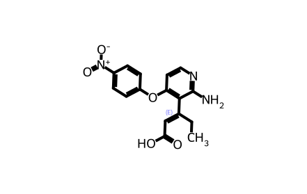 CC/C(=C\C(=O)O)c1c(Oc2ccc([N+](=O)[O-])cc2)ccnc1N